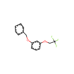 FC(F)(F)COc1cccc(OCc2ccccc2)c1